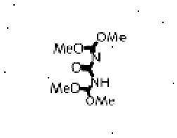 COC(=NC(=O)NC(OC)OC)OC